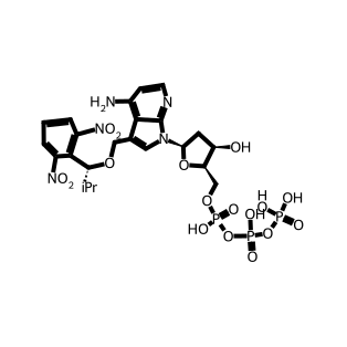 CC(C)[C@@H](OCc1cn([C@H]2C[C@@H](O)[C@@H](COP(=O)(O)OP(=O)(O)OP(=O)(O)O)O2)c2nccc(N)c12)c1c([N+](=O)[O-])cccc1[N+](=O)[O-]